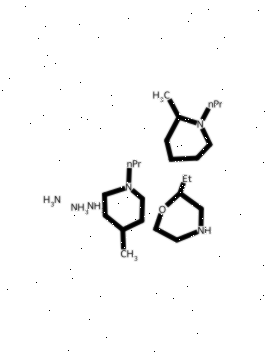 CCC1CNCCO1.CCCN1CCC(C)CC1.CCCN1CCCCC1C.N.N.N